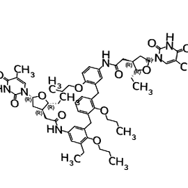 CCCOc1ccc(NC(=O)C[C@H]2C[C@H](n3cc(C)c(=O)[nH]c3=O)O[C@@H]2CC)cc1Cc1cccc(Cc2cc(NC(=O)C[C@H]3C[C@H](n4cc(C)c(=O)[nH]c4=O)O[C@@H]3CC)cc(CC)c2OCCC)c1OCCC